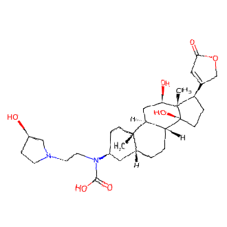 C[C@]12CC[C@H](N(CCN3CC[C@@H](O)C3)C(=O)O)C[C@H]1CC[C@@H]1[C@@H]2C[C@@H](O)[C@]2(C)[C@@H](C3=CC(=O)OC3)CC[C@]12O